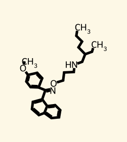 CCCCC(CC)CNCCCON=C(c1ccc(OC)cc1)c1cccc2ccccc12